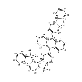 CC1(C)c2ccc(-c3c4ccccc4c(-c4ccc5c(c4)oc4ccccc45)c4ccccc34)cc2-c2c1ccc1c2C(C)(C)c2ccccc2-1